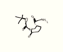 CC(C)(C)OC(=O)N1C(=O)CC[C@H]1C(N)=O